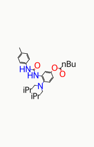 CCCCC(=O)Oc1ccc(N(CC(C)C)CC(C)C)c(NC(=O)Nc2ccc(C)cc2)c1